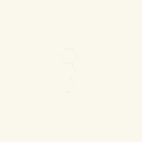 CN(C)CCNc1cccc(Cl)n1